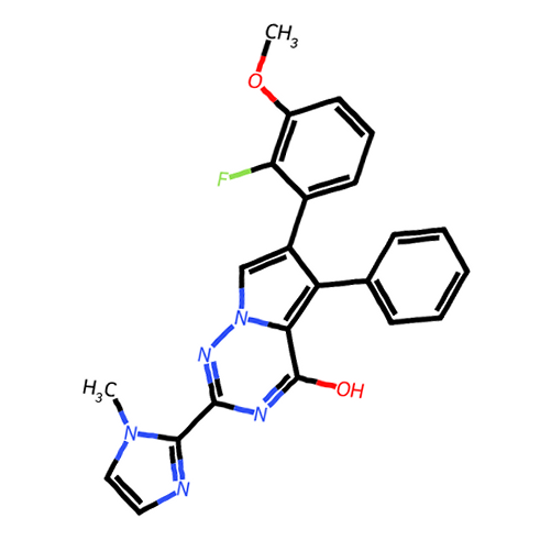 COc1cccc(-c2cn3nc(-c4nccn4C)nc(O)c3c2-c2ccccc2)c1F